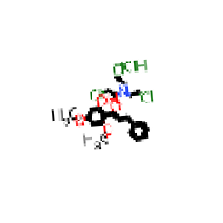 COc1cc(O)c(C(=O)C=Cc2ccccc2)c(OC)c1.Cl.ClCCN(CCCl)CCCl